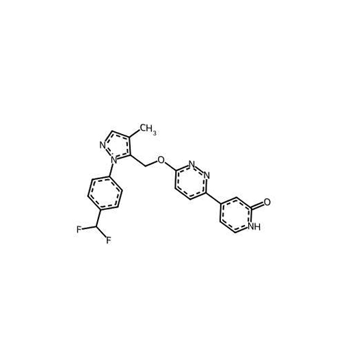 Cc1cnn(-c2ccc(C(F)F)cc2)c1COc1ccc(-c2cc[nH]c(=O)c2)nn1